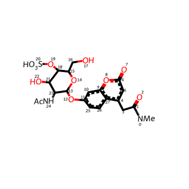 CNC(=O)Cc1cc(=O)oc2cc(OC3OC(CO)C(OS(=O)(=O)O)C(O)C3NC(C)=O)ccc12